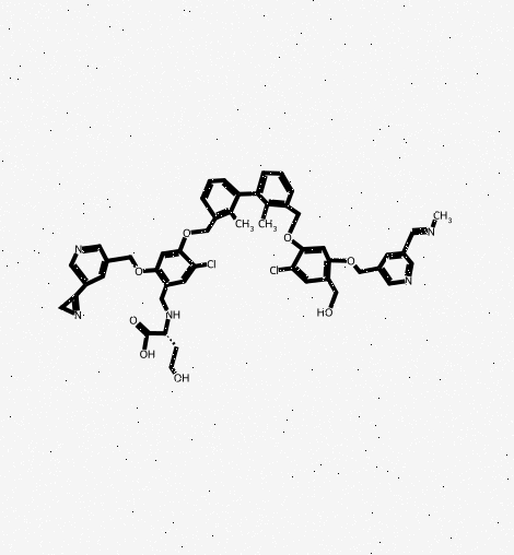 C/N=C/c1cncc(COc2cc(OCc3cccc(-c4cccc(COc5cc(OCc6cncc(C7=NC7)c6)c(CN[C@H](CCO)C(=O)O)cc5Cl)c4C)c3C)c(Cl)cc2CO)c1